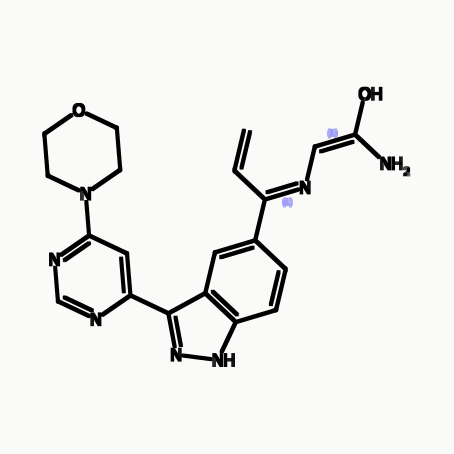 C=C/C(=N\C=C(/N)O)c1ccc2[nH]nc(-c3cc(N4CCOCC4)ncn3)c2c1